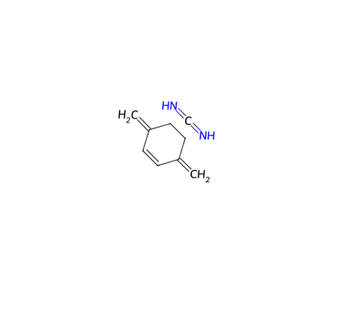 C=C1C=CC(=C)CC1.N=C=N